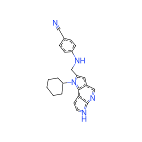 N#Cc1ccc(NCc2cc3cnc4[nH]ccc4c3n2C2CCCCC2)cc1